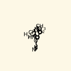 C=c1[nH]c2c(OCCCn3ccnc3)ccc(-c3cccc(S(=O)(=O)CC)c3)c2/c1=C/C(Cl)=C\N